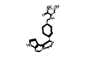 NC(=O)[C@@H](CO)NC[C@H]1CC[C@H](c2nnn3cnc4[nH]ccc4c23)CC1